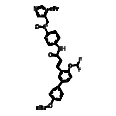 CCCCOc1ccc(-c2ccc(OC(F)F)c(/C=C/C(=O)Nc3ccc([S+]([O-])Cc4cncn4CCC)cc3)c2)cc1